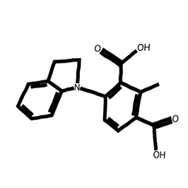 Cc1c(C(=O)O)ccc(N2CCc3ccccc32)c1C(=O)O